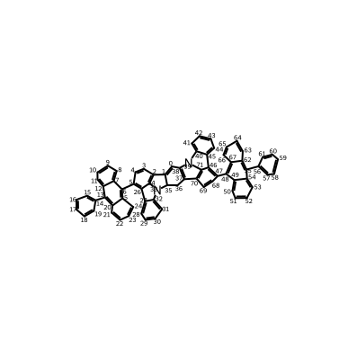 C1=C2c3ccc(-c4c5ccccc5c(-c5ccccc5)c5ccccc45)c4c5ccccc5n(c34)C2Cc2c1n1c3ccccc3c3c(-c4c5ccccc5c(-c5ccccc5)c5ccccc45)ccc2c31